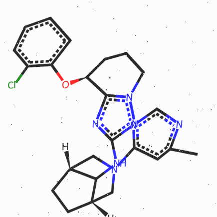 Cc1cc(N2C[C@H]3CC[C@@H](C2)C3Nc2nc3n(n2)CCC[C@@H]3Oc2ccccc2Cl)ncn1